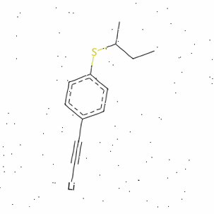 [Li][C]#Cc1ccc(SC(C)CC)cc1